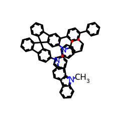 Cn1c2ccccc2c2ccc(N(c3ccccc3)c3ccc4c(c3)C3(c5ccccc5-4)c4ccccc4-c4cc(-c5ccc(-c6ccccc6)cc5)c(N(C5=CC=CCC5)c5ccccc5)cc43)cc21